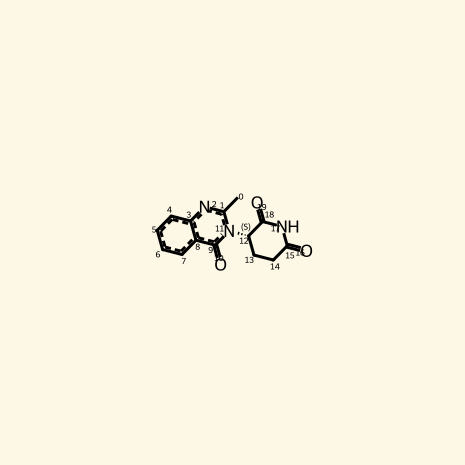 Cc1nc2ccccc2c(=O)n1[C@H]1CCC(=O)NC1=O